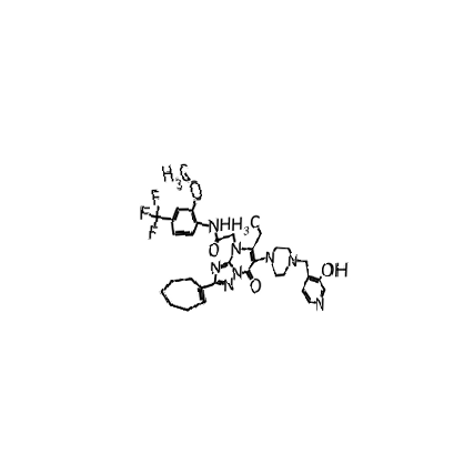 CCc1c(N2CCN(Cc3ccncc3O)CC2)c(=O)n2nc(C3=CCCCCC3)nc2n1CC(=O)Nc1ccc(C(F)(F)F)cc1OC